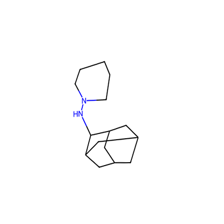 C1CCN(NC2C3CC4CC(C3)CC2C4)CC1